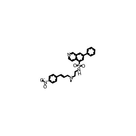 CN(C/C=C/c1ccc([N+](=O)[O-])cc1)CCNS(=O)(=O)c1cc(-c2ccccc2)cc2cnccc12